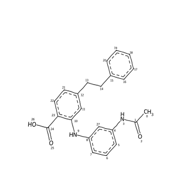 CC(=O)Nc1cccc(Nc2cc(CCc3ccccc3)ccc2C(=O)O)c1